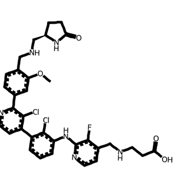 COc1cc(-c2nccc(-c3cccc(Nc4nccc(CNCCC(=O)O)c4F)c3Cl)c2Cl)ccc1CNC[C@H]1CCC(=O)N1